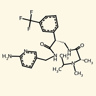 CC(C)N(C)[C@@H](C)C(=O)NC[C@H](C(=O)NCc1ccc(N)nc1)c1cccc(C(F)(F)F)c1